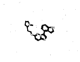 CN1CCCC1CCOc1ccc2ncc(-c3cccc4[nH]ccc34)n2n1